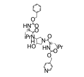 CC(C)C[C@H](NC(=O)OCc1ccccc1)C(=O)NC1CN(C(=O)[C@H](CC(C)C)NC(=O)OCc2ccncc2)CC1O